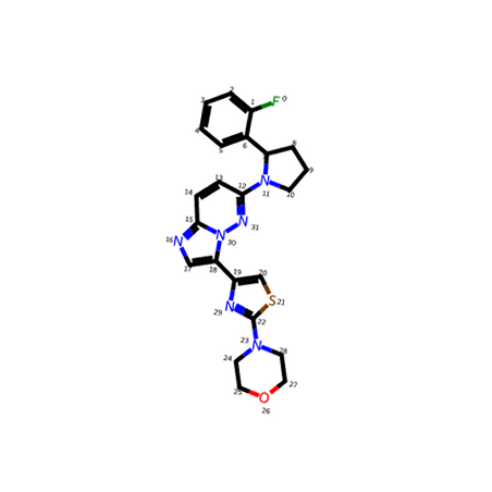 Fc1ccccc1C1CCCN1c1ccc2ncc(-c3csc(N4CCOCC4)n3)n2n1